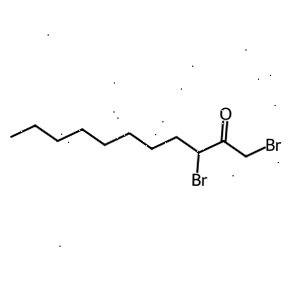 CCCCCCCCC(Br)C(=O)CBr